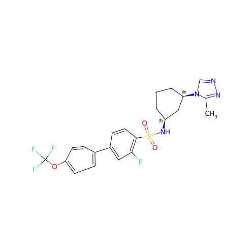 Cc1nncn1[C@@H]1CCC[C@H](NS(=O)(=O)c2ccc(-c3ccc(OC(F)(F)F)cc3)cc2F)C1